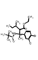 CCOC(=O)C(C(C)CC)[C@@](C)(N[S+]([O-])C(C)(C)C)c1ccc(Br)c(Cl)c1